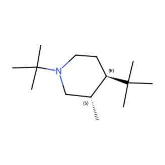 C[C@@H]1CN(C(C)(C)C)CC[C@H]1C(C)(C)C